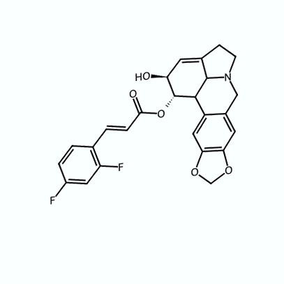 O=C(/C=C/c1ccc(F)cc1F)O[C@H]1C2c3cc4c(cc3CN3CCC(=C[C@@H]1O)C23)OCO4